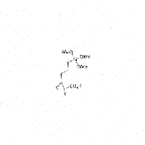 CO[Si](CCCC1SC1(C)C(=O)O)(OC)OC